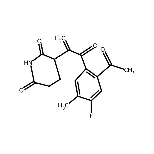 C=C(C(=O)c1cc(C)c(F)cc1C(C)=O)C1CCC(=O)NC1=O